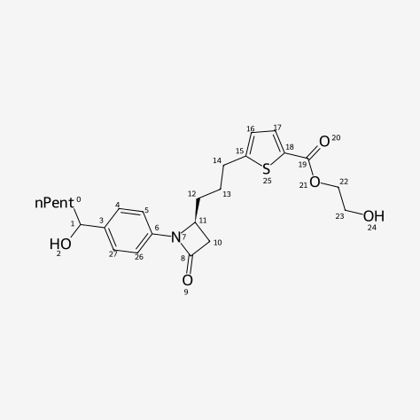 CCCCCC(O)c1ccc(N2C(=O)C[C@@H]2CCCc2ccc(C(=O)OCCO)s2)cc1